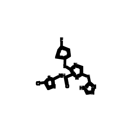 O=C(Nc1ncc(Cl)s1)c1nc(Sc2nnc[nH]2)cnc1Sc1ccc(F)cc1